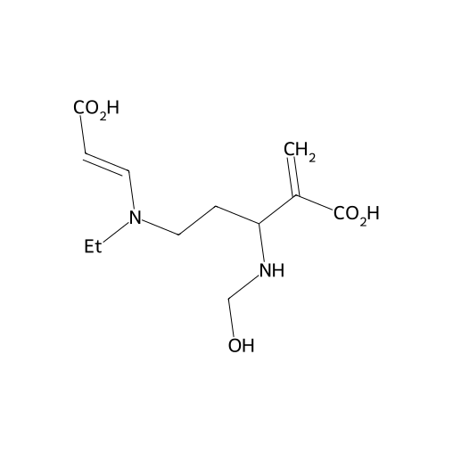 C=C(C(=O)O)C(CCN(C=CC(=O)O)CC)NCO